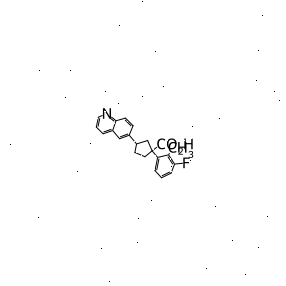 Cc1c(F)cccc1C1(C(=O)O)CCC(c2ccc3ncccc3c2)C1